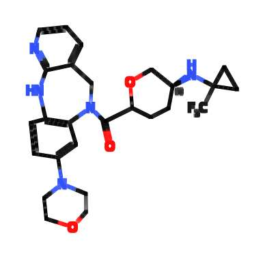 O=C(C1CC[C@H](NC2(C(F)(F)F)CC2)CO1)N1Cc2cccnc2Nc2ccc(N3CCOCC3)cc21